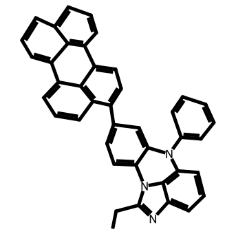 CCc1nc2cccc3c2n1-c1ccc(-c2ccc4c5cccc6cccc(c7cccc2c74)c65)cc1N3c1ccccc1